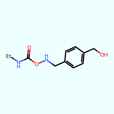 CCNC(=O)ONCc1ccc(CO)cc1